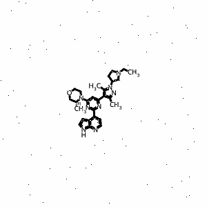 CCN1CCC(n2nc(C)c(-c3cc(N4CCOC[C@H]4C)nc(-c4ccnc5[nH]ccc45)n3)c2C)C1